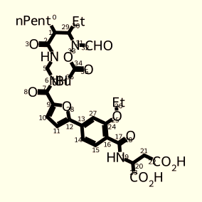 CCCCCC(C(=O)NCNC(=O)c1ccc(-c2ccc(C(=O)NC(CC(=O)O)C(=O)O)c(OCC)c2)o1)C(CC)N(C=O)OC(=O)C(C)(C)C